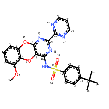 COc1cccc2c1Oc1c(NS(=O)(=O)c3ccc(C(C)(C)C)cc3)nc(-c3ncccn3)nc1O2